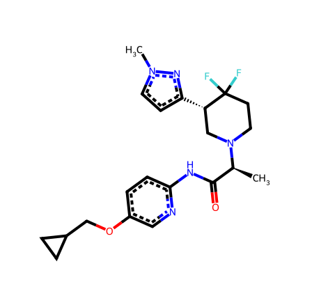 C[C@@H](C(=O)Nc1ccc(OCC2CC2)cn1)N1CCC(F)(F)[C@@H](c2ccn(C)n2)C1